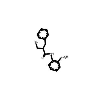 O=C(O)c1ccccc1NC(=O)C(CS)Cc1ccccc1